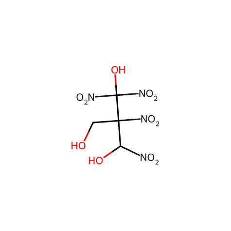 O=[N+]([O-])C(O)C(CO)([N+](=O)[O-])C(O)([N+](=O)[O-])[N+](=O)[O-]